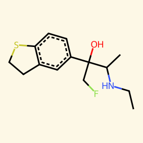 CCNC(C)C(O)(CF)c1ccc2c(c1)CCS2